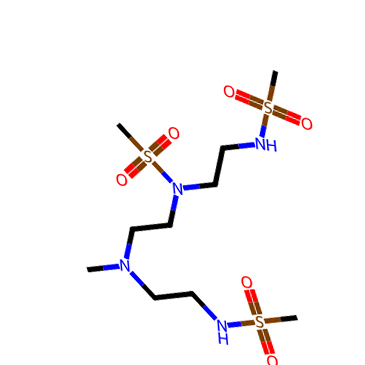 CN(CCNS(C)(=O)=O)CCN(CCNS(C)(=O)=O)S(C)(=O)=O